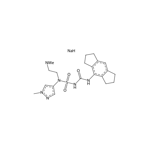 CNCCN(c1cnn(C)c1)S(=O)(=O)NC(=O)Nc1c2c(cc3c1CCC3)CCC2.[NaH]